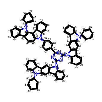 c1ccc(-n2c3ccccc3c3cc4c(cc32)c2ccccc2n4-c2nc(-c3ccc(-n4c5ccccc5c5c4ccc4c6ccccc6n(-c6ccccc6)c45)cc3)nc(-n3c4ccccc4c4cc5c(cc43)c3ccccc3n5-c3ccccc3)n2)cc1